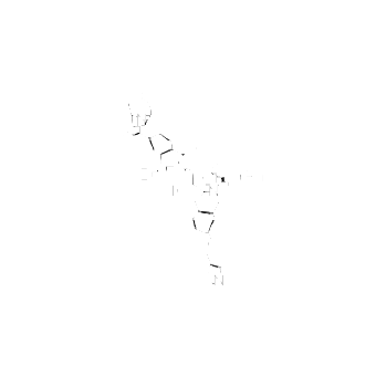 CCOc1cc(C(=O)N2C3CCC2COC3)ccc1C(=O)NC[C@@H](O)[C@@]1(O)Cc2ccc(OCc3cnco3)cc2CN1C(=O)OC(C)(C)C